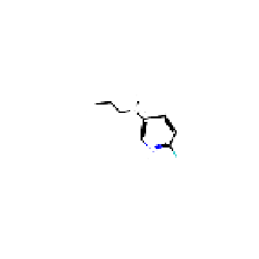 CCCB(C)c1ccc(F)nc1